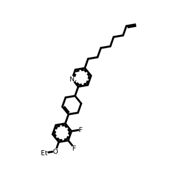 C=CCCCCCCc1ccc(C2CC=C(c3ccc(OCC)c(F)c3F)CC2)nc1